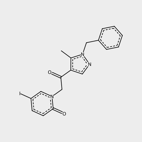 Cc1c(C(=O)Cn2cc(I)ccc2=O)cnn1Cc1ccccc1